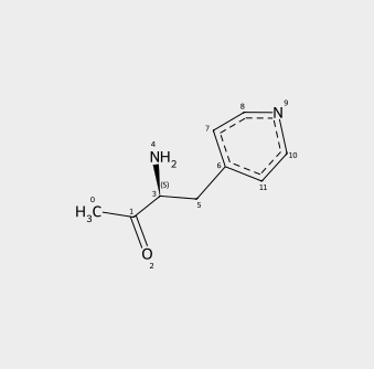 CC(=O)[C@@H](N)Cc1ccncc1